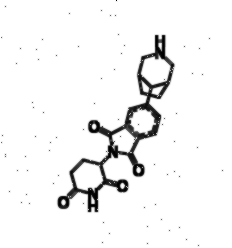 O=C1CCC(N2C(=O)c3ccc(C4C5CCC4CNC5)cc3C2=O)C(=O)N1